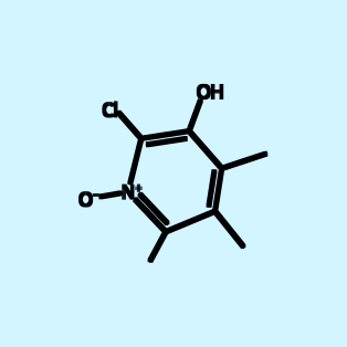 Cc1c(C)c(C)[n+]([O-])c(Cl)c1O